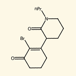 CCCN1CCCC(C2=C(Br)C(=O)CCC2)C1=O